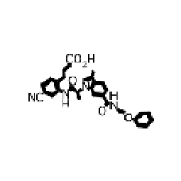 Cc1cn(C(C)C(=O)Nc2cc(C#N)ccc2CCCC(=O)O)c2cc(C(=O)NCCOc3ccccc3)ccc12